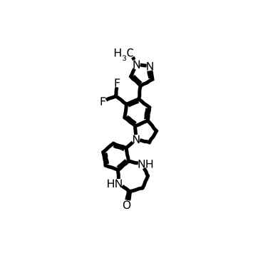 Cn1cc(-c2cc3c(cc2C(F)F)N(c2cccc4c2NCCC(=O)N4)CC3)cn1